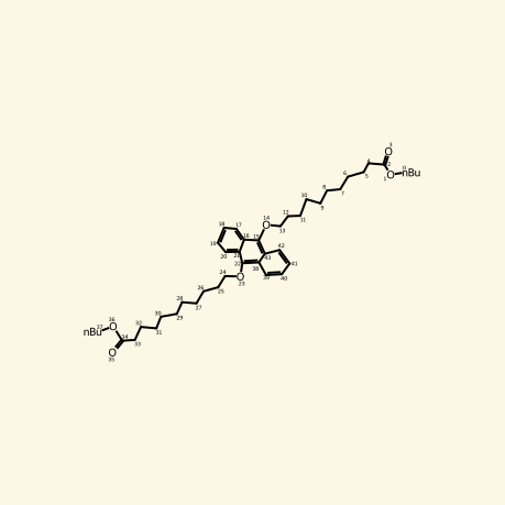 CCCCOC(=O)CCCCCCCCCCOc1c2ccccc2c(OCCCCCCCCCCC(=O)OCCCC)c2ccccc12